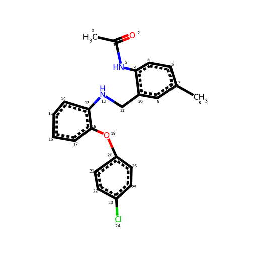 CC(=O)Nc1ccc(C)cc1CNc1ccccc1Oc1ccc(Cl)cc1